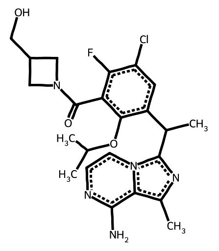 Cc1nc(C(C)c2cc(Cl)c(F)c(C(=O)N3CC(CO)C3)c2OC(C)C)n2ccnc(N)c12